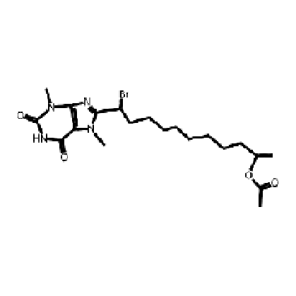 CC(=O)OC(C)CCCCCCCCC(Br)c1nc2c(c(=O)[nH]c(=O)n2C)n1C